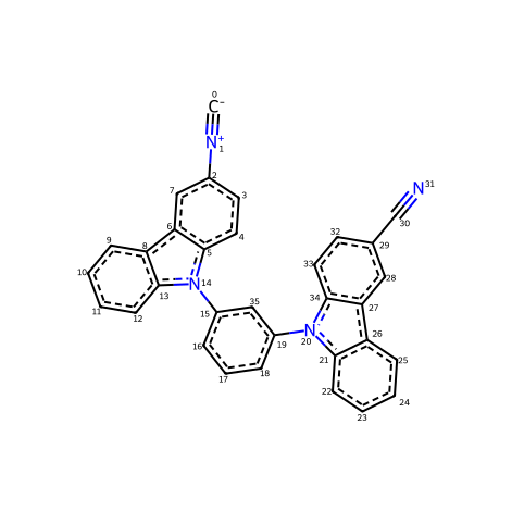 [C-]#[N+]c1ccc2c(c1)c1ccccc1n2-c1cccc(-n2c3ccccc3c3cc(C#N)ccc32)c1